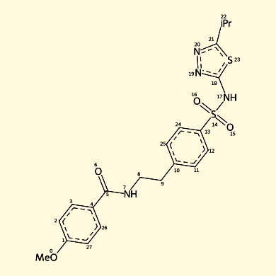 COc1ccc(C(=O)NCCc2ccc(S(=O)(=O)Nc3nnc(C(C)C)s3)cc2)cc1